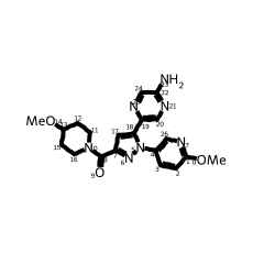 COc1ccc(-n2nc(C(=O)N3CCC(OC)CC3)cc2-c2cnc(N)cn2)cn1